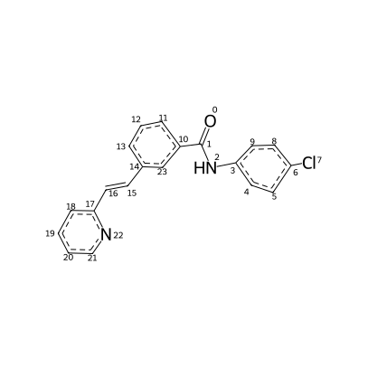 O=C(Nc1ccc(Cl)cc1)c1cccc(/C=C/c2ccccn2)c1